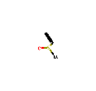 [CH]=C[S+]([O-])CC